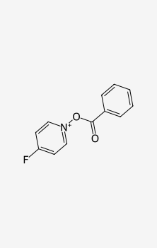 O=C(O[n+]1ccc(F)cc1)c1ccccc1